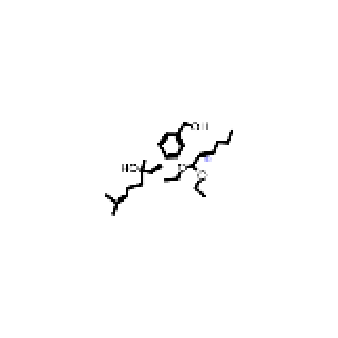 C=CC(C)(O)CCC=C(C)C.CCC/C=C/C(OCC)OCC.OCc1ccccc1